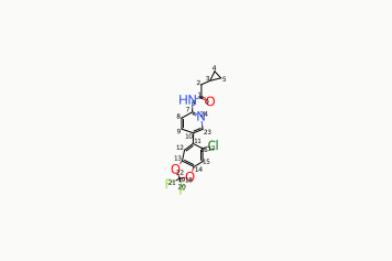 O=C(CC1CC1)Nc1ccc(-c2cc3c(cc2Cl)OC(F)(F)O3)cn1